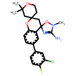 CN1OC2(CC3(CCOC(C)(C)C3)Oc3ccc(-c4ccc(F)c(Cl)c4)cc32)N=C1N